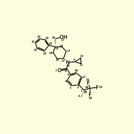 C[C@H](c1ccc(C(=O)N(C2CC2)[C@H]2CC[C@](CO)(c3ccccc3)CC2)cc1)C(F)(F)F